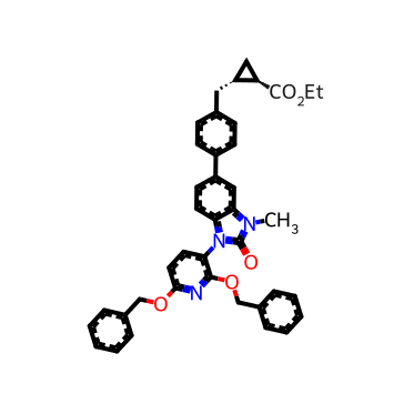 CCOC(=O)[C@@H]1C[C@H]1Cc1ccc(-c2ccc3c(c2)n(C)c(=O)n3-c2ccc(OCc3ccccc3)nc2OCc2ccccc2)cc1